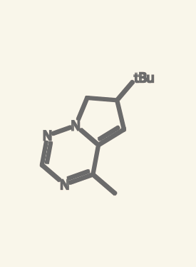 CC1=NC=NN2CC(C(C)(C)C)C=C12